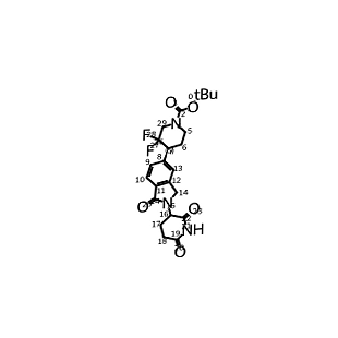 CC(C)(C)OC(=O)N1CC[C@@H](c2ccc3c(c2)CN(C2CCC(=O)NC2=O)C3=O)C(F)(F)C1